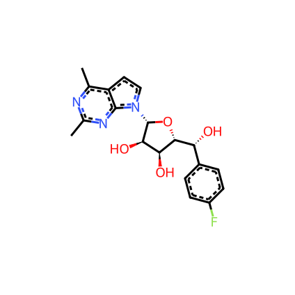 Cc1nc(C)c2ccn([C@@H]3O[C@H]([C@H](O)c4ccc(F)cc4)[C@@H](O)[C@H]3O)c2n1